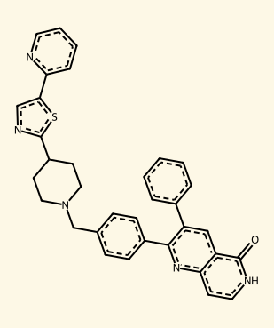 O=c1[nH]ccc2nc(-c3ccc(CN4CCC(c5ncc(-c6ccccn6)s5)CC4)cc3)c(-c3ccccc3)cc12